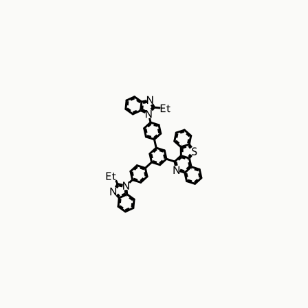 CCc1nc2ccccc2n1-c1ccc(-c2cc(-c3ccc(-n4c(CC)nc5ccccc54)cc3)cc(-c3nc4ccccc4c4sc5ccccc5c34)c2)cc1